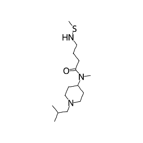 CSNCCCC(=O)N(C)C1CCN(CC(C)C)CC1